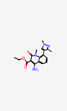 CCOC(=O)c1c(N)c2cccc(-c3cn(C)nc3C)c2n(C)c1=O